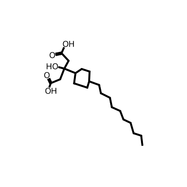 CCCCCCCCCCC1CCC(C(O)(CC(=O)O)CC(=O)O)CC1